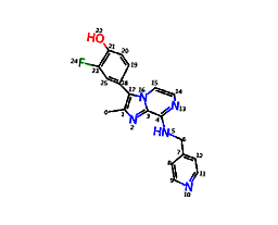 Cc1nc2c(NCc3ccncc3)nccn2c1-c1ccc(O)c(F)c1